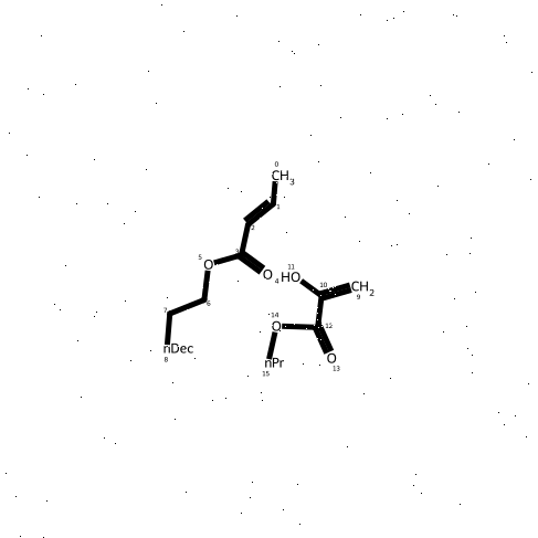 C/C=C/C(=O)OCCCCCCCCCCCC.C=C(O)C(=O)OCCC